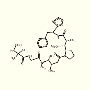 CC[C@H](C)[C@@H]([C@@H](CC(=O)N1CCC[C@H]1[C@H](OC)[C@@H](C)C(=O)N[C@@H](Cc1ccccc1)c1nccs1)OC)N(C)C(=O)CNC(=O)C(C)(C)NC=O